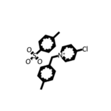 Cc1ccc(C[n+]2ccc(Cl)cc2)cc1.Cc1ccc(S(=O)(=O)[O-])cc1